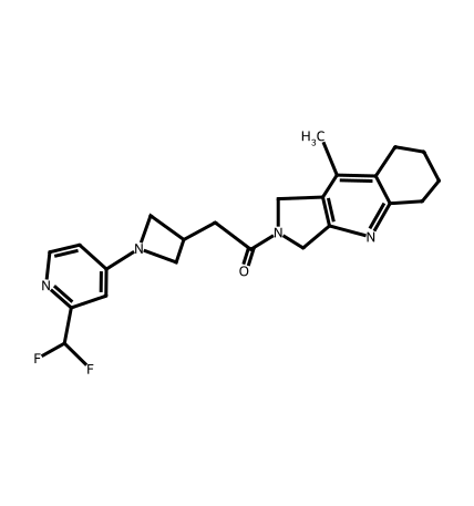 Cc1c2c(nc3c1CN(C(=O)CC1CN(c4ccnc(C(F)F)c4)C1)C3)CCCC2